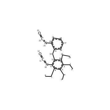 CCc1c(CC)c(CC)c(N=C=O)c(Cc2ccccc2N=C=O)c1CC